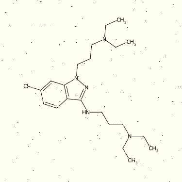 CCN(CC)CCCNc1nn(CCCN(CC)CC)c2cc(Cl)ccc12